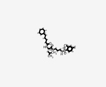 CC(C)C[C@H](NC(=O)CCCCC1CCCCC1)C(=O)NCCCNS(=O)(=O)c1ccc(F)cc1Cl